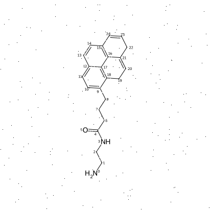 NCCNC(=O)CCCc1ccc2ccc3c4c2c1CC=C4CC=C3